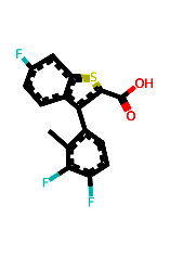 Cc1c(-c2c(C(=O)O)sc3cc(F)ccc23)ccc(F)c1F